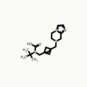 CC(C)(C)N(CC12CC(CN3CCn4ccnc4C3)(C1)C2)C(=O)O